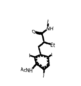 CCC(Cc1c(I)cc(I)c(NC(C)=O)c1I)C(=O)NI